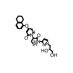 CC(C)CC(C(=O)Nc1ccn(C[C@@H](O)CO)n1)n1ncc(Oc2cccc3c2CCCC3)cc1=O